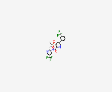 CCS(=O)(=O)c1cc(-c2cccc(C(F)(F)F)c2)cnc1C(=O)N1CCc2ncc(C(F)(F)F)cc21